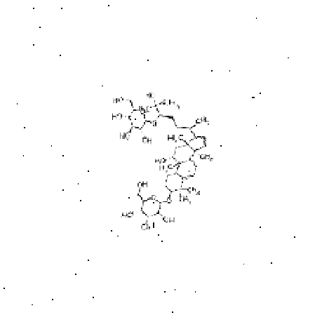 C[C@H](CC[C@@H](O[C@@H]1O[C@H](CO)[C@@H](O)[C@H](O)[C@H]1O)C(C)(C)O)C1CC[C@@]2(C)C3CC=C4C(CC[C@H](O[C@@H]5O[C@H](CO)[C@@H](O)[C@H](O)[C@@H]5O)C4(C)C)[C@]3(C)[C@H](O)C[C@]12C